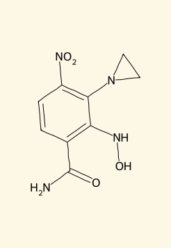 NC(=O)c1ccc([N+](=O)[O-])c(N2CC2)c1NO